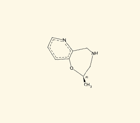 C[C@@H]1CNCc2ncccc2O1